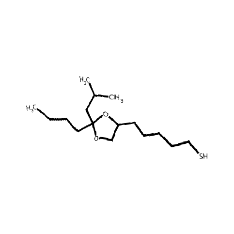 CCCCC1(CC(C)C)OCC(CCCCCS)O1